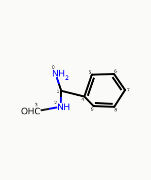 NC(NC=O)c1ccccc1